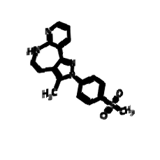 Cc1c2c(nn1-c1ccc(S(C)(=O)=O)cc1)-c1cccnc1NCC2